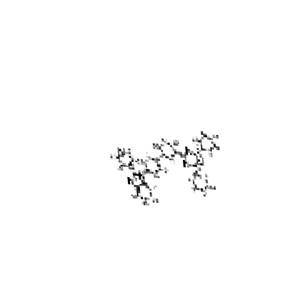 c1ccc(-c2nc(-c3ccccc3)nc(-c3cccc(-c4ccc(-n5c(-c6ccncc6)nc6ccccc65)cc4)c3)n2)cc1